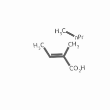 CC=C(C)C(=O)O.CCCC